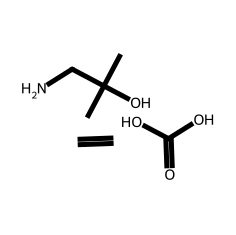 C=C.CC(C)(O)CN.O=C(O)O